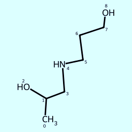 CC(O)CNCCCO